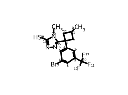 CC1CC(c2cc(Br)cc(C(F)(F)F)c2)(c2nnc(S)n2C)C1